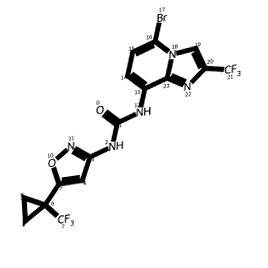 O=C(Nc1cc(C2(C(F)(F)F)CC2)on1)Nc1ccc(Br)n2cc(C(F)(F)F)nc12